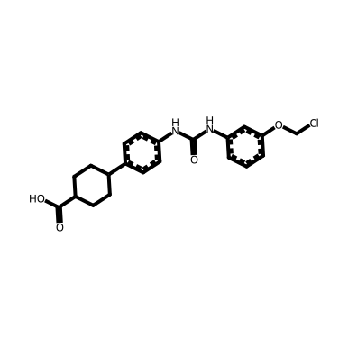 O=C(Nc1ccc(C2CCC(C(=O)O)CC2)cc1)Nc1cccc(OCCl)c1